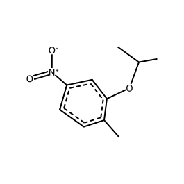 Cc1ccc([N+](=O)[O-])cc1OC(C)C